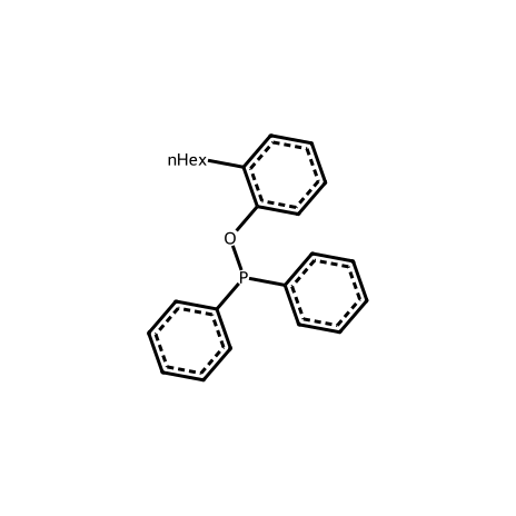 CCCCCCc1ccccc1OP(c1ccccc1)c1ccccc1